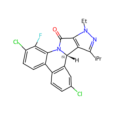 CCn1nc(C(C)C)c2c1C(=O)N1c3c(ccc(Cl)c3F)-c3ccc(Cl)cc3[C@@H]21